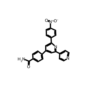 NC(=O)c1ccc(-c2cc(-c3ccncc3)nc(-c3ccc([N+](=O)[O-])cc3)c2)cc1